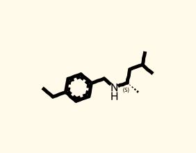 CCc1ccc(CN[C@@H](C)CC(C)C)cc1